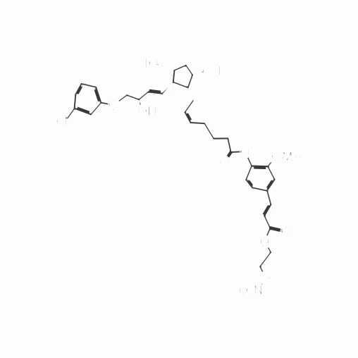 COc1cc(/C=C/C(=O)OCCO[N+](=O)[O-])ccc1OC(=O)CCC/C=C\C[C@@H]1[C@@H](/C=C/[C@@H](O)COc2cccc(Cl)c2)[C@H](O)C[C@@H]1O